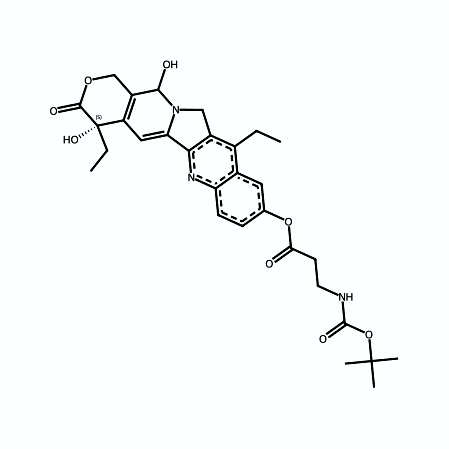 CCc1c2c(nc3ccc(OC(=O)CCNC(=O)OC(C)(C)C)cc13)C1=CC3=C(COC(=O)[C@]3(O)CC)C(O)N1C2